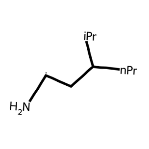 C[CH]CC(C[CH]N)C(C)C